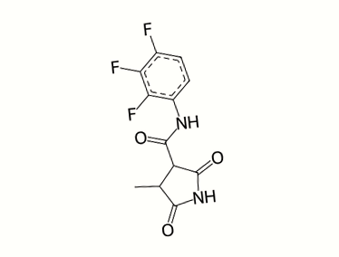 CC1C(=O)NC(=O)C1C(=O)Nc1ccc(F)c(F)c1F